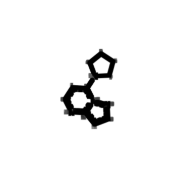 c1cc(N2CCCC2)n2nccc2n1